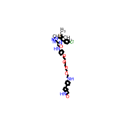 Cc1sc2c(c1C)C(c1ccc(Cl)cc1)=N[C@@H](CC(=O)Nc1ccc(OCCOCCOCCOCCNc3ccc(-c4ccc5c(c4)CC(=O)N5)cc3)cc1)c1nnc(C)n1-2